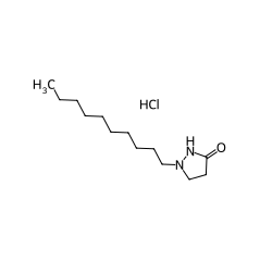 CCCCCCCCCCN1CCC(=O)N1.Cl